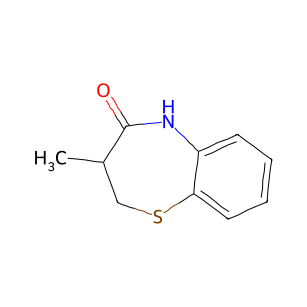 CC1CSc2ccccc2NC1=O